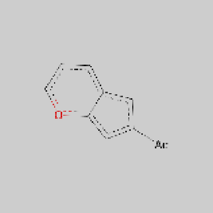 CC(=O)c1cc2cccoc-2c1